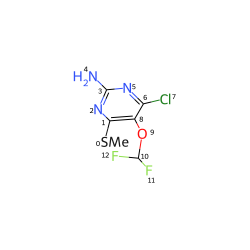 CSc1nc(N)nc(Cl)c1OC(F)F